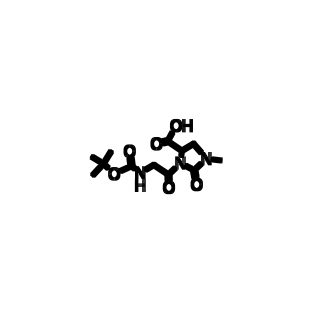 CN1CC(C(=O)O)N(C(=O)CNC(=O)OC(C)(C)C)C1=O